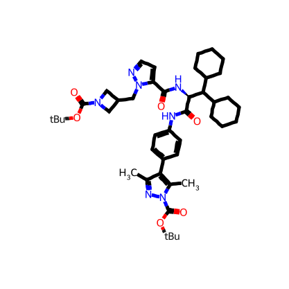 Cc1nn(C(=O)OC(C)(C)C)c(C)c1-c1ccc(NC(=O)[C@@H](NC(=O)c2ccnn2CC2CN(C(=O)OC(C)(C)C)C2)C(C2CCCCC2)C2CCCCC2)cc1